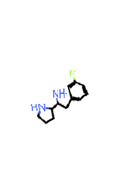 [NH]C(Cc1cccc(F)c1)C1CCCN1